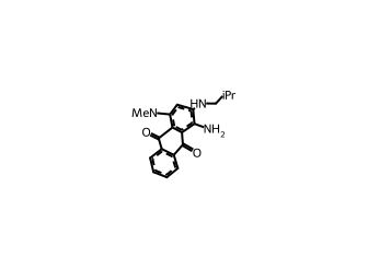 CNc1cc(NCC(C)C)c(N)c2c1C(=O)c1ccccc1C2=O